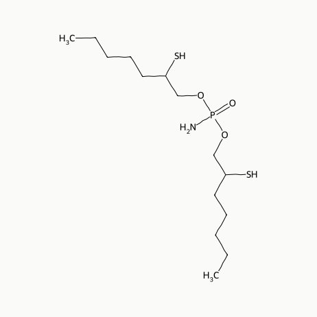 CCCCCC(S)COP(N)(=O)OCC(S)CCCCC